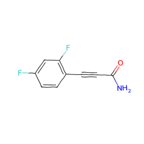 NC(=O)C#Cc1ccc(F)cc1F